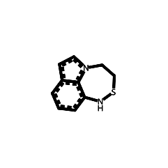 c1cc2c3c(c1)ccn3CCSN2